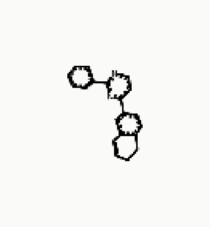 C1=Cc2cc(-c3ccnc(-c4ccccc4)n3)ccc2CC1